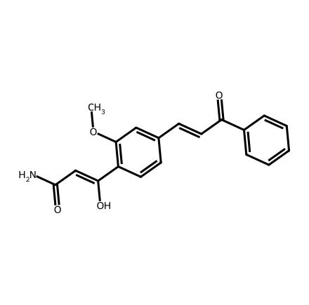 COc1cc(C=CC(=O)c2ccccc2)ccc1C(O)=CC(N)=O